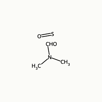 CN(C)C=O.O=S